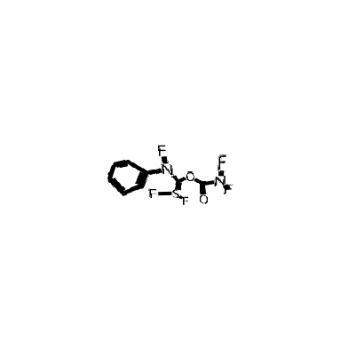 O=C(OC(N(F)c1ccccc1)=S(F)F)N(F)F